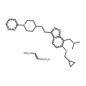 CN(C)Cc1c(OCC2CC2)ccc2c(CCC3CCN(c4cccnn4)CC3)noc12.O=C(O)C=CC(=O)O